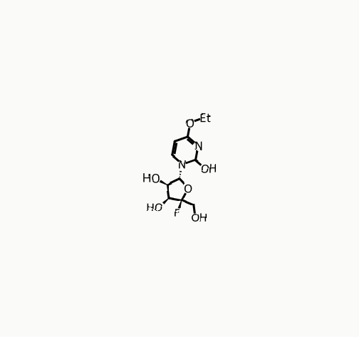 CCOC1=NC(O)N([C@@H]2O[C@](F)(CO)[C@@H](O)[C@H]2O)C=C1